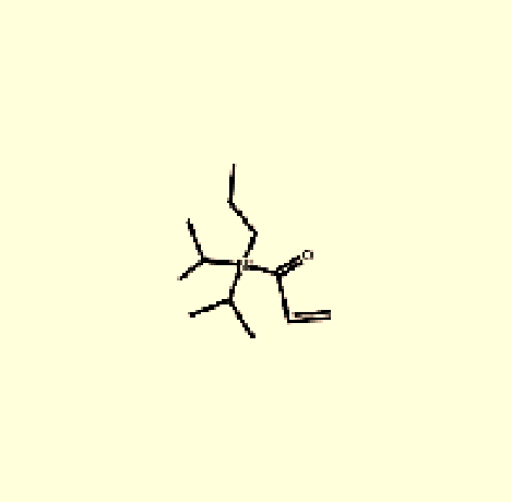 C=CC(=O)[N+](CCC)(C(C)C)C(C)C